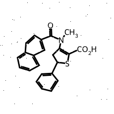 CN(C(=O)c1ccc2ccccc2c1)C1=C(C(=O)O)SC(c2ccccc2)C1